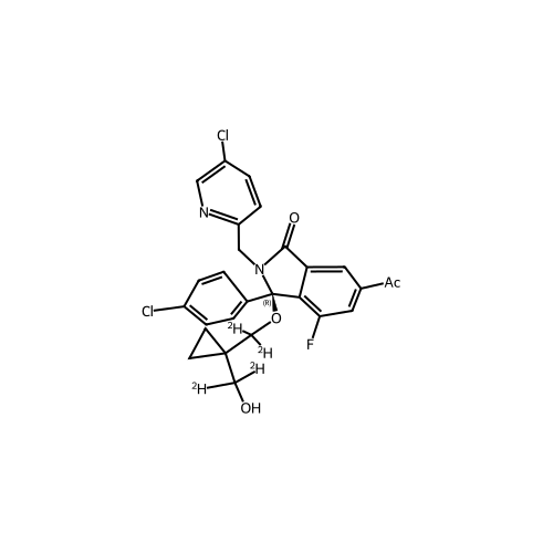 [2H]C([2H])(O)C1(C([2H])([2H])O[C@]2(c3ccc(Cl)cc3)c3c(F)cc(C(C)=O)cc3C(=O)N2Cc2ccc(Cl)cn2)CC1